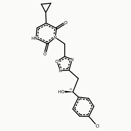 O=c1[nH]cc(C2CC2)c(=O)n1Cc1nc(C[C@H](O)c2ccc(Cl)cc2)no1